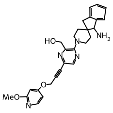 COc1cc(OCC#Cc2cnc(N3CCC4(CC3)Cc3ccccc3C4N)c(CO)n2)ccn1